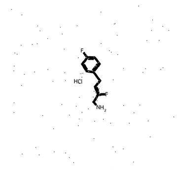 Cl.NC/C(F)=C/Cc1ccc(F)cc1